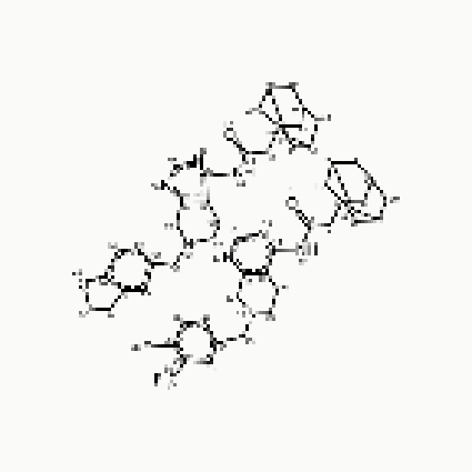 O=C(CC12CC3CC(CC(C3)C1)C2)Nc1ncnc2c1CCN(Cc1ccc(F)c(C(F)(F)F)c1)C2.O=C(CC12CC3CC(CC(C3)C1)C2)Nc1ncnc2c1CCN(Cc1ccc3c(c1)CCO3)C2